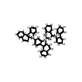 c1ccc2c(c1)ccc1c2c2ccccc2n1-c1ccc2c3c4ccccc4ccc3n(-c3nc(-n4c5ccccc5c5ccccc54)c4ccccc4n3)c2c1